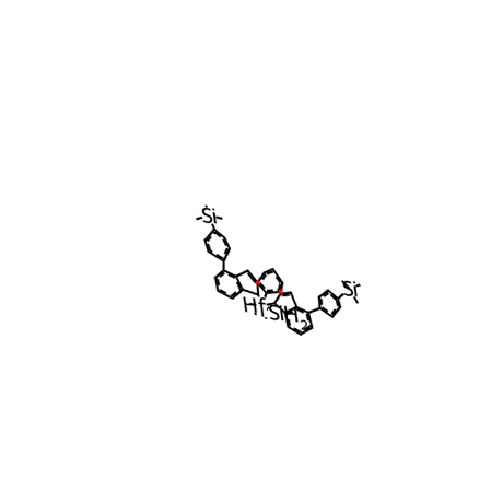 C[Si](C)(C)c1ccc(-c2cccc3c2C=C[CH]3[Hf]([CH3])([CH3])([CH3])(=[SiH2])([c]2ccccc2)[CH]2C=Cc3c(-c4ccc([Si](C)(C)C)cc4)cccc32)cc1